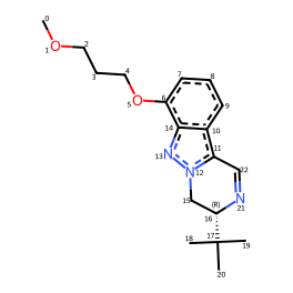 COCCCOc1cccc2c3n(nc12)C[C@@H](C(C)(C)C)N=C3